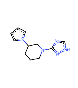 c1ccn(C2CCCN(c3nc[nH]n3)C2)c1